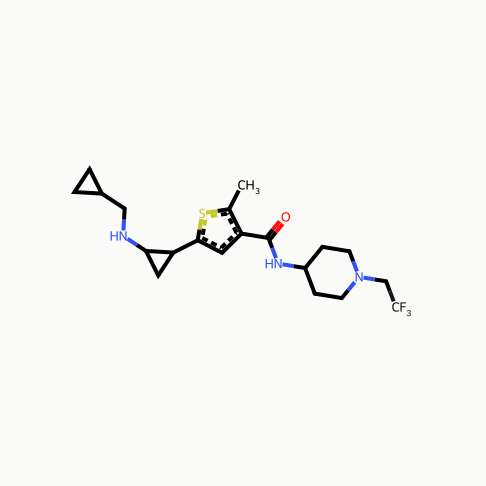 Cc1sc(C2CC2NCC2CC2)cc1C(=O)NC1CCN(CC(F)(F)F)CC1